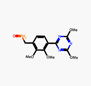 COc1nc(OC)nc(-c2ccc(C[PH2]=O)c(OC)c2OC)n1